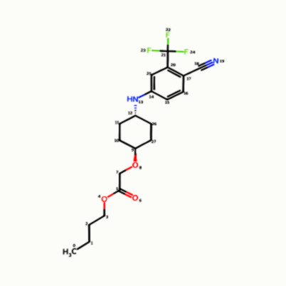 CCCCOC(=O)CO[C@H]1CC[C@H](Nc2ccc(C#N)c(C(F)(F)F)c2)CC1